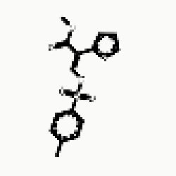 COC(=O)C(=COS(=O)(=O)c1ccc(C)cc1)c1cccs1